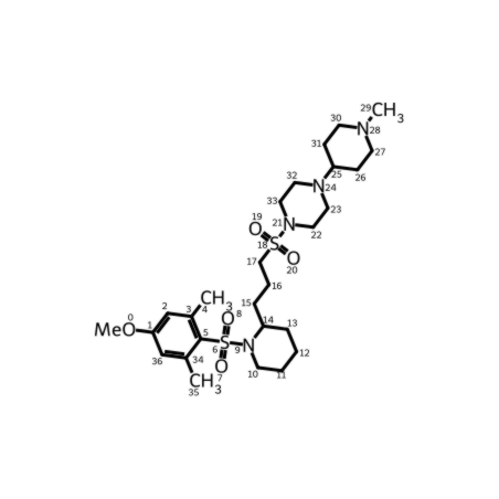 COc1cc(C)c(S(=O)(=O)N2CCCCC2CCCS(=O)(=O)N2CCN(C3CCN(C)CC3)CC2)c(C)c1